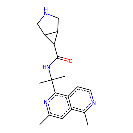 Cc1cc2c(C)nccc2c(C(C)(C)NC(=O)C2C3CNCC32)n1